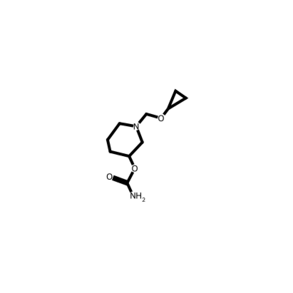 NC(=O)OC1CCCN(COC2CC2)C1